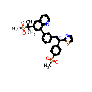 CC(C)(c1cc(-c2cccc(/C=C(\c3ccc(S(C)(=O)=O)cc3)c3nccs3)c2)c2ncccc2c1)S(C)(=O)=O